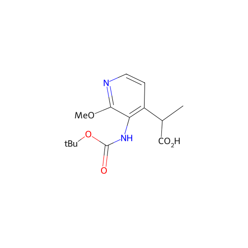 COc1nccc(C(C)C(=O)O)c1NC(=O)OC(C)(C)C